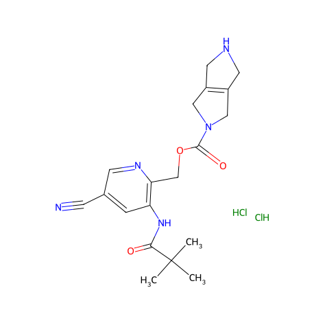 CC(C)(C)C(=O)Nc1cc(C#N)cnc1COC(=O)N1CC2=C(CNC2)C1.Cl.Cl